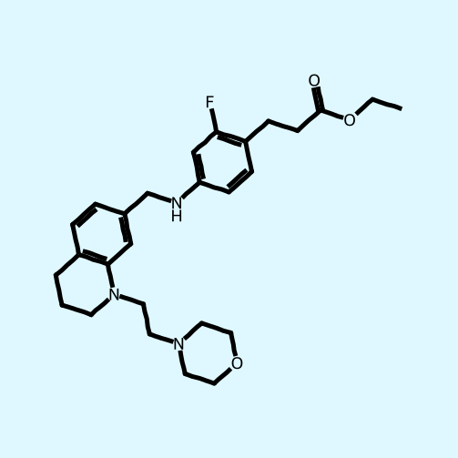 CCOC(=O)CCc1ccc(NCc2ccc3c(c2)N(CCN2CCOCC2)CCC3)cc1F